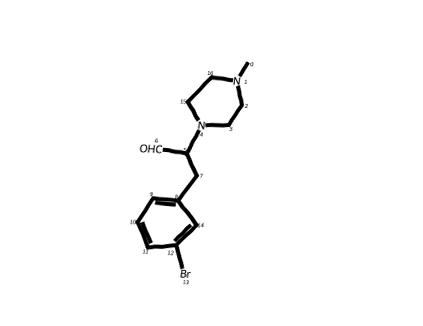 CN1CCN(C(C=O)Cc2cccc(Br)c2)CC1